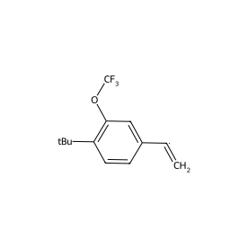 C=[C]c1ccc(C(C)(C)C)c(OC(F)(F)F)c1